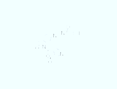 CCC(=O)N1CCN(c2ccc(C3(C(=O)N4CC[C@@]5(C4)OC(=O)c4cnccc45)CC3)cc2)CC1